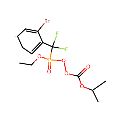 CCOP(=O)(OOC(=O)OC(C)C)C(F)(F)C1=CC[CH]C=C1Br